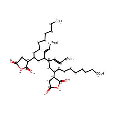 CCCCC/C=C/C(CC(CCCCCCCC(=O)O)C1CC(=O)OC1=O)C(/C=C/CCCCC)CC(CCCCCCCC(=O)O)C1CC(=O)OC1=O